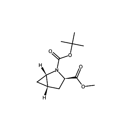 COC(=O)[C@H]1C[C@@H]2C[C@@H]2N1C(=O)OC(C)(C)C